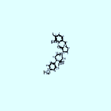 Cc1ccc(CN2CC[C@H](N3CC[C@H](c4ccc(O)cc4)C(F)(F)C3)C2=O)cc1F